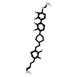 C/C=C/CCc1ccc(CCC2CCC(c3ccc(-c4ccc(OCC)c(F)c4F)c(F)c3F)CC2)c(F)c1F